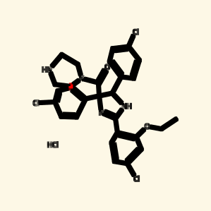 CCOc1cc(Cl)ccc1C1=NC(C(=O)N2CCNCC2)(c2ccc(Cl)cc2)C(c2ccc(Cl)cc2)N1.Cl